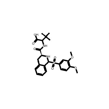 COc1ccc(S(=O)(=O)C2N[C@H](C(=O)NC(C(=O)O)C(C)(C)C)Cc3ccccc32)cc1OC